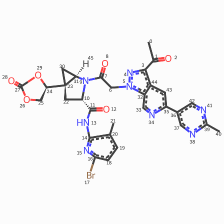 CC(=O)c1nn(CC(=O)N2[C@H](C(=O)Nc3nc(Br)ccc3C)C[C@@]3([C@H]4COC(=O)O4)C[C@@H]23)c2cnc(-c3cnc(C)nc3)cc12